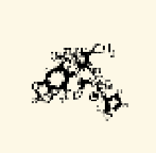 Cc1noc(N(C(=O)NS(=O)(=O)c2ccsc2)c2c(S(C)(=O)=O)cc3c(c2C)OCO3)c1Cl